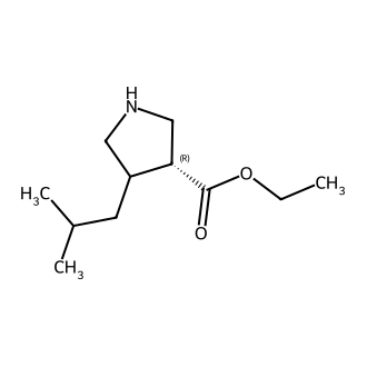 CCOC(=O)[C@H]1CNCC1CC(C)C